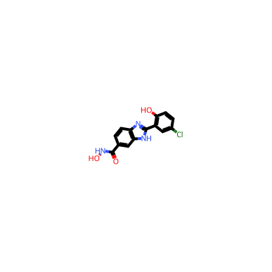 O=C(NO)c1ccc2nc(-c3cc(Cl)ccc3O)[nH]c2c1